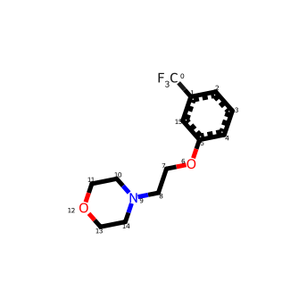 FC(F)(F)c1c[c]cc(OCCN2CCOCC2)c1